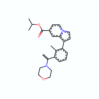 C=C(c1cccc(-c2ccn3ccc(C(=O)OC(C)C)cc23)c1C)N1CCOCC1